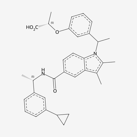 Cc1c(C)n(C(C)c2cccc(O[C@@H](C)C(=O)O)c2)c2ccc(C(=O)N[C@@H](C)c3cccc(C4CC4)c3)cc12